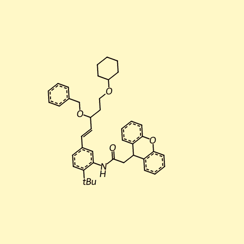 CC(C)(C)c1ccc(C=CC(CCOC2CCCCC2)OCc2ccccc2)cc1NC(=O)CC1c2ccccc2Oc2ccccc21